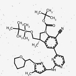 Cc1cc(Nc2nccc(-c3cc(C#N)c4c(c3)[C@@](C)(CO[Si](C)(C)C(C)(C)C)CN4C(=O)OC(C)(C)C)n2)nn1CC1CCCCO1